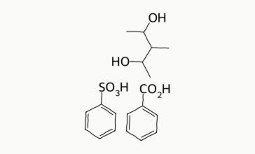 CC(O)C(C)C(C)O.O=C(O)c1ccccc1.O=S(=O)(O)c1ccccc1